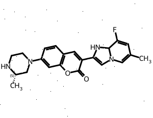 CC1=CN2C=C(c3cc4ccc(N5CCN[C@@H](C)C5)cc4oc3=O)NC2C(F)=C1